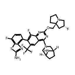 Nc1nc2c(-c3c(C(F)(F)F)cc4c(N5C[C@@H]6CC[C@@H](C5)N6)nc(OC[C@@]56CCCN5C[C@H](F)C6)nc4c3F)ccc(F)c2s1